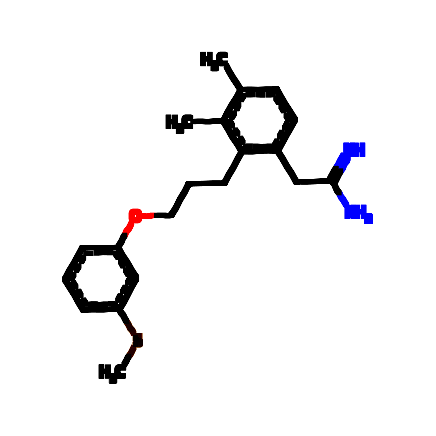 CSc1cccc(OCCCc2c(CC(=N)N)ccc(C)c2C)c1